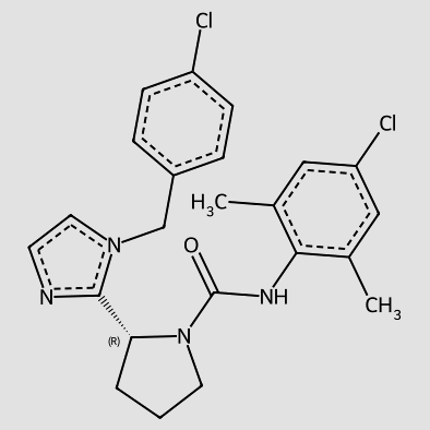 Cc1cc(Cl)cc(C)c1NC(=O)N1CCC[C@@H]1c1nccn1Cc1ccc(Cl)cc1